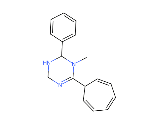 CN1C(C2C=CC=CC=C2)=NCNC1c1ccccc1